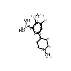 COc1c(F)cc(C2CCN(C)CC2)cc1B(O)O